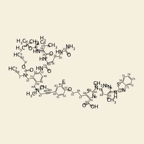 C#CCOC(=O)N(CC#C)Cc1cc(NC(=O)[C@H](CCCNC(N)=O)NC(=O)[C@@H](NC(=O)OC(C)(C)C)C(C)C)ccc1C[N+](C)(C)CC#Cc1ccc(OCCCc2sc(N(C)c3cc(C)c(Nc4nc5ccccc5s4)nn3)nc2C(=O)O)c(F)c1